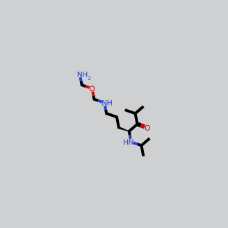 CC(C)N[C@@H](CCCNCOCN)C(=O)C(C)C